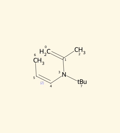 C=C(C)N(/C=C\C)C(C)(C)C